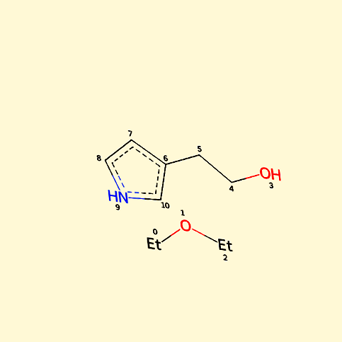 CCOCC.OCCc1cc[nH]c1